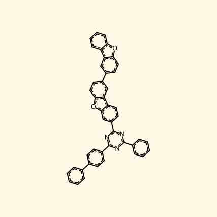 c1ccc(-c2ccc(-c3nc(-c4ccccc4)nc(-c4ccc5c(c4)oc4ccc(-c6ccc7oc8ccccc8c7c6)cc45)n3)cc2)cc1